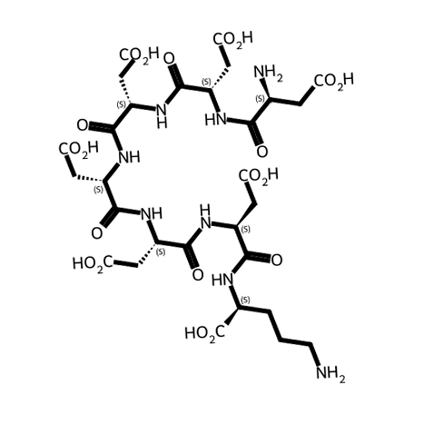 NCCC[C@H](NC(=O)[C@H](CC(=O)O)NC(=O)[C@H](CC(=O)O)NC(=O)[C@H](CC(=O)O)NC(=O)[C@H](CC(=O)O)NC(=O)[C@H](CC(=O)O)NC(=O)[C@@H](N)CC(=O)O)C(=O)O